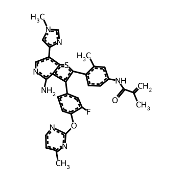 C=C(C)C(=O)Nc1ccc(-c2sc3c(-c4cn(C)cn4)cnc(N)c3c2-c2ccc(Oc3nccc(C)n3)c(F)c2)c(C)c1